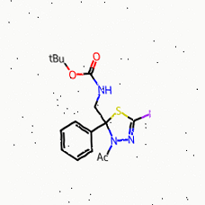 CC(=O)N1N=C(I)SC1(CNC(=O)OC(C)(C)C)c1ccccc1